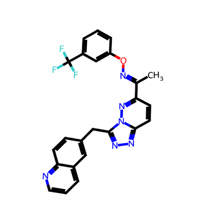 CC(=NOc1cccc(C(F)(F)F)c1)c1ccc2nnc(Cc3ccc4ncccc4c3)n2n1